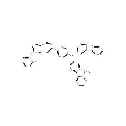 CC1(C)c2ccccc2-c2ccc(N(c3ccc(-c4ccc5ccc6c7ccccc7sc6c5c4)cc3)c3ccc4oc5ccccc5c4c3)cc21